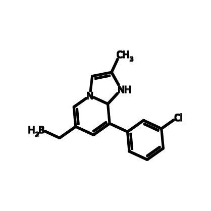 BCC1=CN2C=C(C)NC2C(c2cccc(Cl)c2)=C1